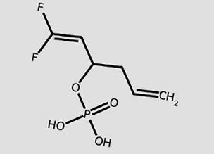 C=CCC(C=C(F)F)OP(=O)(O)O